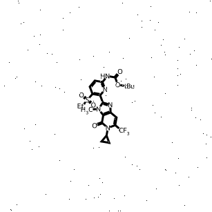 CCS(=O)(=O)c1ccc(NC(=O)OC(C)(C)C)nc1-c1nc2cc(C(F)(F)F)n(C3CC3)c(=O)c2n1C